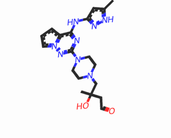 Cc1cc(Nc2nc(N3CCN(CC(C)(O)CC=O)CC3)nn3cccc23)n[nH]1